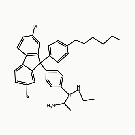 CCCCCCc1ccc(C2(c3ccc(N(NCC)C(C)N)cc3)c3cc(Br)ccc3-c3ccc(Br)cc32)cc1